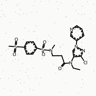 CCN(C(=O)CCN(C)S(=O)(=O)c1ccc(S(C)(=O)=O)cc1)c1cn(-c2cccnc2)nc1Cl